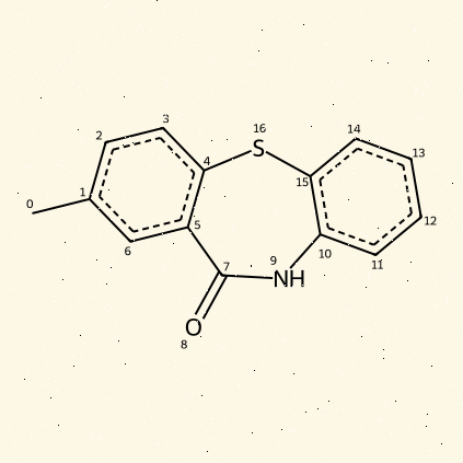 Cc1ccc2c(c1)C(=O)Nc1ccccc1S2